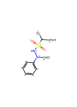 CCCCCC(CC)S(=O)(=O)NN(C=O)c1ccccc1